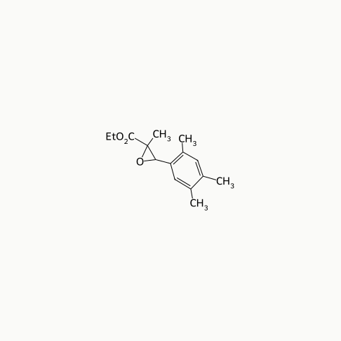 CCOC(=O)C1(C)OC1c1cc(C)c(C)cc1C